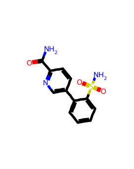 NC(=O)c1ccc(-c2ccccc2S(N)(=O)=O)cn1